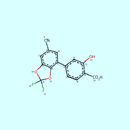 N#Cc1cc2c(c(-c3ccc(C(=O)O)c(O)c3)c1)OC(F)(F)O2